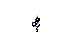 CCCN1CCn2c3c(c4cc(Br)ccc42)CCCC31